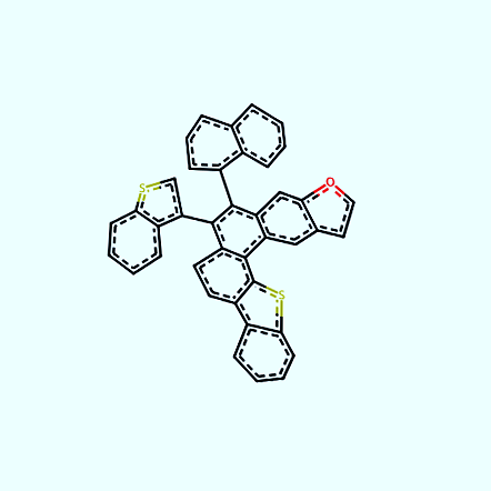 c1ccc2c(-c3c(-c4csc5ccccc45)c4ccc5c6ccccc6sc5c4c4cc5ccoc5cc34)cccc2c1